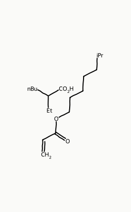 C=CC(=O)OCCCCCC(C)C.CCCCC(CC)C(=O)O